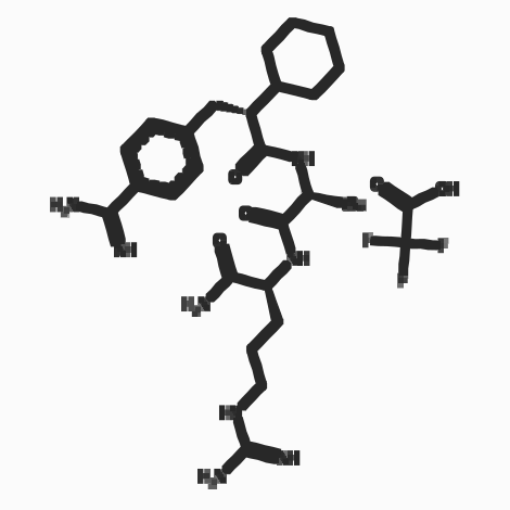 CC(C)(C)[C@H](NC(=O)[C@H](Cc1ccc(C(=N)N)cc1)C1CCCCC1)C(=O)N[C@@H](CCCNC(=N)N)C(N)=O.O=C(O)C(F)(F)F